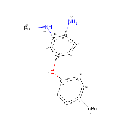 CCCCc1ccc(Oc2ccc(N)c(NC(C)(C)C)c2)cc1